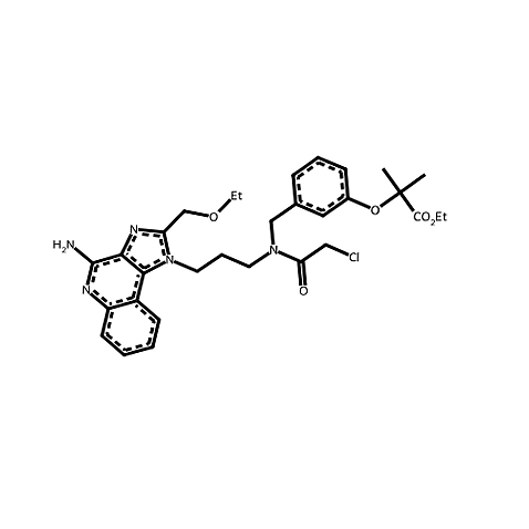 CCOCc1nc2c(N)nc3ccccc3c2n1CCCN(Cc1cccc(OC(C)(C)C(=O)OCC)c1)C(=O)CCl